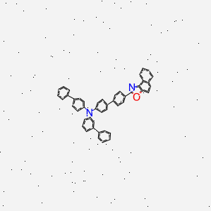 c1ccc(-c2ccc(N(c3ccc(-c4ccc(-c5nc6c(ccc7ccccc76)o5)cc4)cc3)c3cccc(-c4ccccc4)c3)cc2)cc1